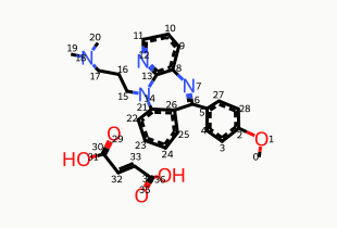 COc1ccc(C2=Nc3cccnc3N(CCCN(C)C)c3ccccc32)cc1.O=C(O)C=CC(=O)O